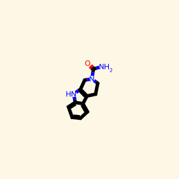 NC(=O)N1CCc2c([nH]c3ccccc23)C1